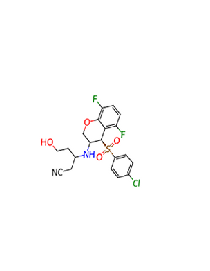 N#CCC(CCO)NC1COc2c(F)ccc(F)c2[C@H]1S(=O)(=O)c1ccc(Cl)cc1